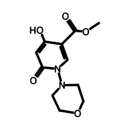 COC(=O)c1cn(N2CCOCC2)c(=O)cc1O